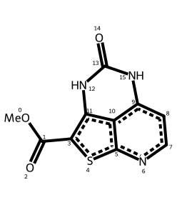 COC(=O)c1sc2nccc3c2c1NC(=O)N3